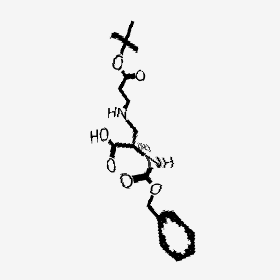 CC(C)(C)OC(=O)CCNC[C@@H](NC(=O)OCc1ccccc1)C(=O)O